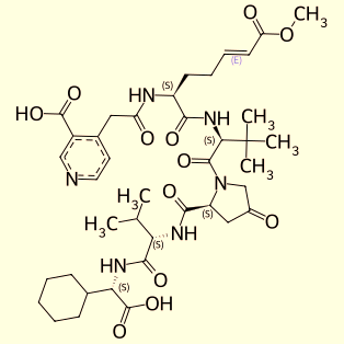 COC(=O)/C=C/CC[C@H](NC(=O)Cc1ccncc1C(=O)O)C(=O)N[C@H](C(=O)N1CC(=O)C[C@H]1C(=O)N[C@H](C(=O)N[C@H](C(=O)O)C1CCCCC1)C(C)C)C(C)(C)C